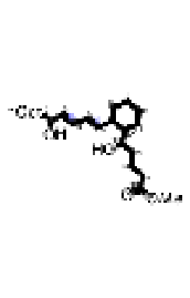 CCCCCCCCC(O)/C=C/C=C/C1CCCCC1C(O)CCCC(=O)OC